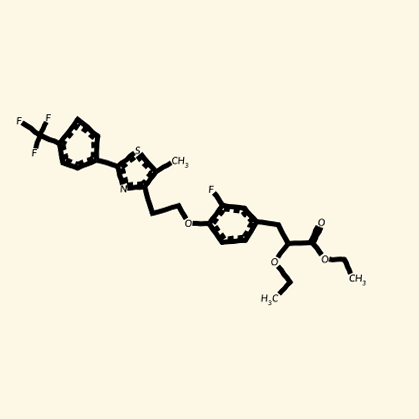 CCOC(=O)C(Cc1ccc(OCCc2nc(-c3ccc(C(F)(F)F)cc3)sc2C)c(F)c1)OCC